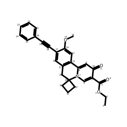 CCOC(=O)c1cn2c(cc1=O)-c1cc(OC)c(C#Cc3ccccc3)cc1CC21CCC1